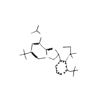 [2H]C([2H])([2H])c1nccc2c1C(F)(F)CC[C@@]21CN2C=C(C(F)(F)F)C=C(OC(F)F)C2=N1